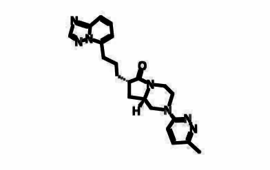 Cc1ccc(N2CCN3C(=O)[C@@H](CCCc4cccc5ncnn45)C[C@H]3C2)nn1